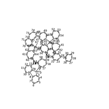 CC1(C)c2ccccc2-c2cccc(N(c3cccc(N(c4ccc(-c5ccccc5)cc4)c4cccc(C5(c6ccccc6)c6ccccc6-c6ccccc65)c4)c3)c3ccc4c(c3)C(C)(C)c3c-4ccc4ccccc34)c21